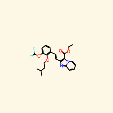 CCOC(=O)c1c(C=Cc2cccc(OC(F)F)c2OCCC(C)C)nc2ccccn12